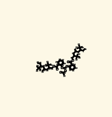 CCC(CC(C)CC(COC(=O)c1ccccc1OP(OC(C)=O)Oc1ccccc1C(=O)OCC(CC(C)CC(CC)C(C)(C)C)C(C)(C)C)C(C)(C)C)C(C)(C)C